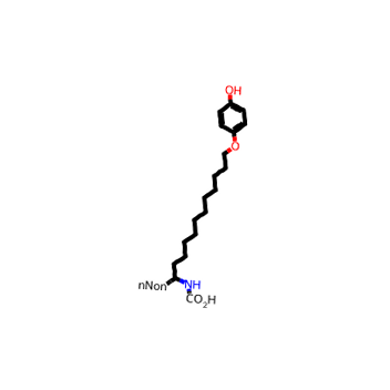 CCCCCCCCCC(CCCCCCCCCCCOc1ccc(O)cc1)NC(=O)O